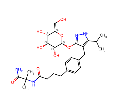 CC(C)c1[nH]nc(O[C@@H]2O[C@H](CO)[C@@H](O)[C@H](O)[C@H]2O)c1Cc1ccc(CCCC(=O)NC(C)(C)C(N)=O)cc1